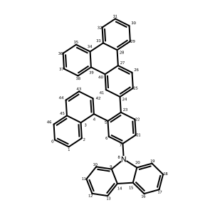 c1ccc2c(-c3cc(-n4c5ccccc5c5ccccc54)ccc3-c3ccc4c5ccccc5c5ccccc5c4c3)cccc2c1